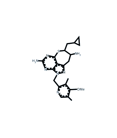 COc1c(C)cnc(Cn2nc3c4c(nc(N)nc42)SC(CC2CC2)C(N)C3)c1C